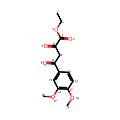 CCOC(=O)C(=O)CC(=O)c1ccc(OC)c(OC)c1